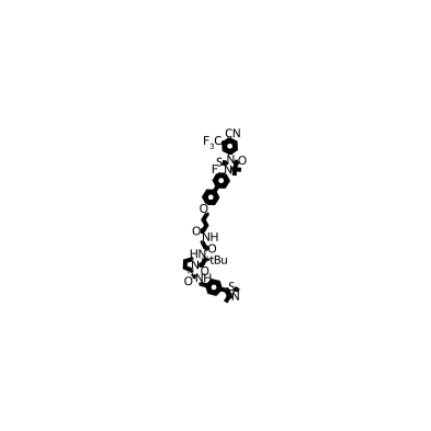 Cc1ncsc1-c1ccc(CNC(=O)[C@@H]2CCCN2C(=O)[C@@H](NC(=O)CNC(=O)CCCOc2ccc(-c3ccc(N4C(=S)N(c5ccc(C#N)c(C(F)(F)F)c5)C(=O)C4(C)C)c(F)c3)cc2)C(C)(C)C)cc1